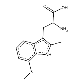 CSc1cccc2c(CC(N)C(=O)O)c(C)[nH]c12